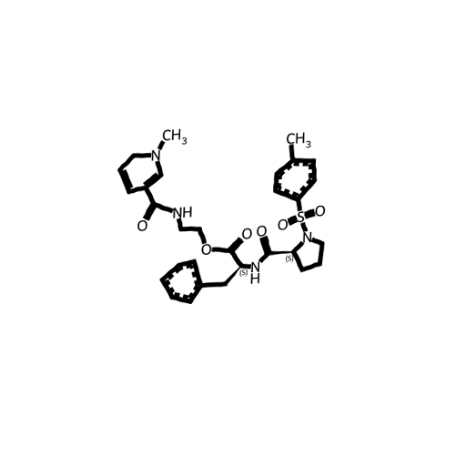 Cc1ccc(S(=O)(=O)N2CCC[C@H]2C(=O)N[C@@H](Cc2ccccc2)C(=O)OCCNC(=O)C2=CN(C)CC=C2)cc1